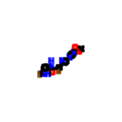 CSNc1cccc(NC(=O)c2cc(-c3ccc(N4CCN(C(=O)OC(C)(C)C)CC4)cn3)cs2)c1